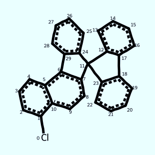 Clc1cccc2c3c(ccc12)C1(c2ccccc2-c2ccccc21)c1ccccc1-3